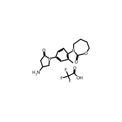 Cc1cc(N2CC(N)CC2=O)ccc1N1CCCCOC1=O.O=C(O)C(F)(F)F